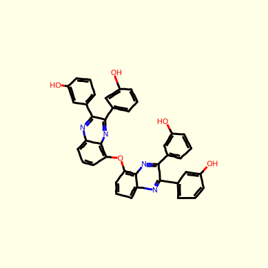 Oc1cccc(-c2nc3cccc(Oc4cccc5nc(-c6cccc(O)c6)c(-c6cccc(O)c6)nc45)c3nc2-c2cccc(O)c2)c1